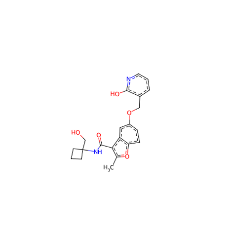 Cc1oc2ccc(OCc3cccnc3O)cc2c1C(=O)NC1(CO)CCC1